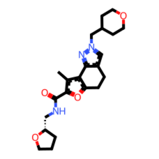 Cc1c(C(=O)NC[C@@H]2CCCO2)oc2c1-c1nn(CC3CCOCC3)cc1CC2